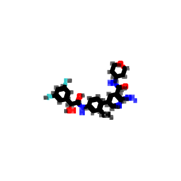 Cc1cc(NC(=O)[C@H](O)c2cc(F)cc(F)c2)ccc1-c1cnc(N)c(C(=O)NC2CCOCC2)c1